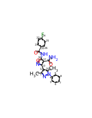 Cc1nn(-c2ccccc2)c(C)c1-c1noc(NC(=O)c2ccc(F)cc2)c1C(N)=O